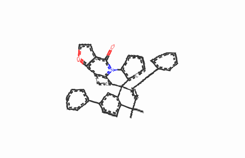 CC1(C)c2ccc(-c3ccccc3)cc2C2(c3ccccc3-n3c(=O)c4ccoc4c4cccc2c43)c2cc(-c3ccccc3)ccc21